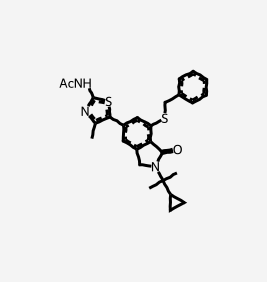 CC(=O)Nc1nc(C)c(-c2cc3c(c(SCc4ccccc4)c2)C(=O)N(C(C)(C)C2CC2)C3)s1